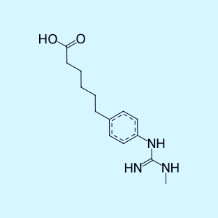 CNC(=N)Nc1ccc(CCCCCC(=O)O)cc1